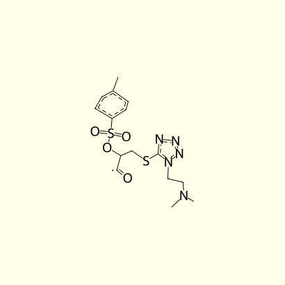 Cc1ccc(S(=O)(=O)OC([C]=O)CSc2nnnn2CCN(C)C)cc1